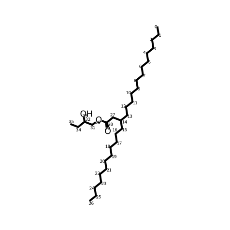 CCCCCCCCCCCCCCC(CCCCCCCCCCCC)CC(=O)OCC(O)CC